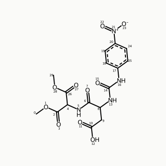 COC(=O)C(NC(=O)C(CC(=O)O)NC(=O)Nc1ccc([N+](=O)[O-])cc1)C(=O)OC